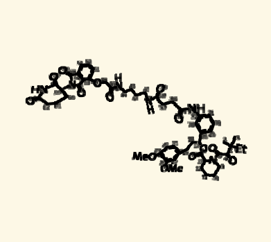 CCC(C)(C)C(=O)C(=O)N1CCCCC1C(=O)OC(CCc1ccc(OC)c(OC)c1)c1cccc(NC(=O)CCC(=O)NCCCCNC(=O)COc2cccc3c2C(=O)N([C@H]2CCCC(=O)NC2=O)C3=O)c1